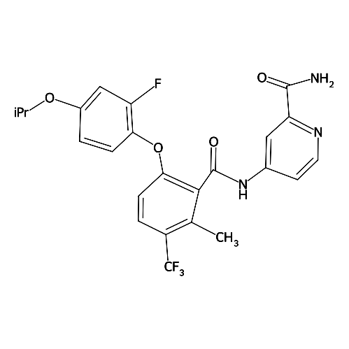 Cc1c(C(F)(F)F)ccc(Oc2ccc(OC(C)C)cc2F)c1C(=O)Nc1ccnc(C(N)=O)c1